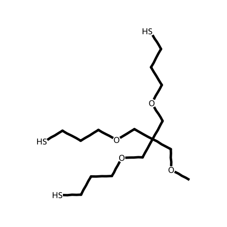 COCC(COCCCS)(COCCCS)COCCCS